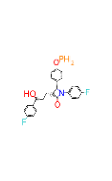 O=C1[C@H](CC[C@H](O)c2ccc(F)cc2)C(c2ccc(OP)cc2)N1c1ccc(F)cc1